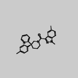 Cc1ccc([C@]2(c3ccccn3)CCCN(C(=O)c3nn(C)c4ccc(C)cc34)C2)cc1